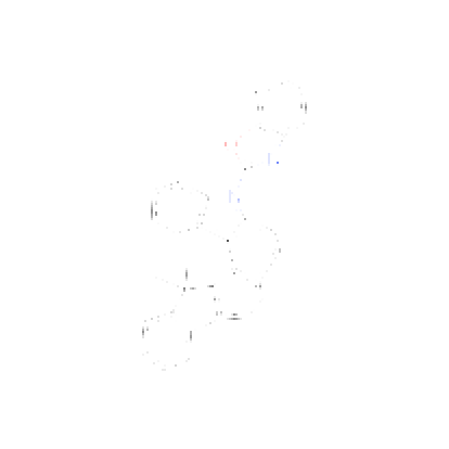 CC1(C)c2ccccc2-c2ccc3ccc4c(c5ccccc5n4-c4nc5ccccc5o4)c3c21